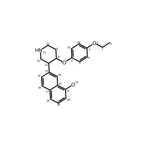 CCOc1ccc(OC2CCNCC2c2ccc3cccc([O])c3c2)cc1